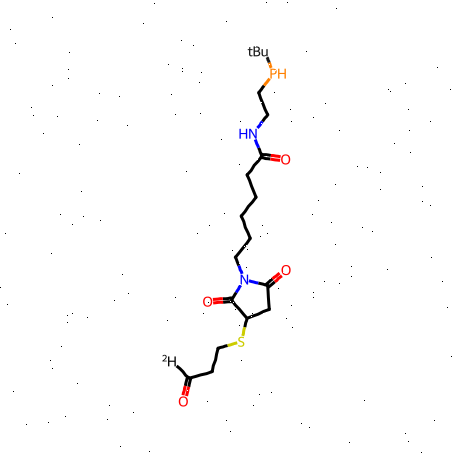 [2H]C(=O)CCSC1CC(=O)N(CCCCCC(=O)NCCPC(C)(C)C)C1=O